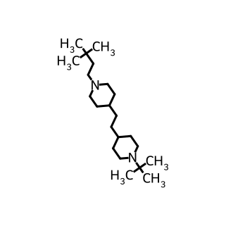 CC(C)(C)CCN1CCC(CCC2CCN(C(C)(C)C)CC2)CC1